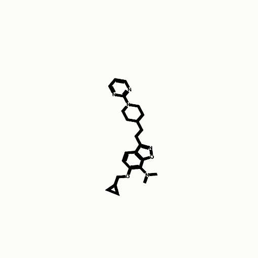 CN(C)c1c(OCC2CC2)ccc2c(CCC3CCN(c4ncccn4)CC3)noc12